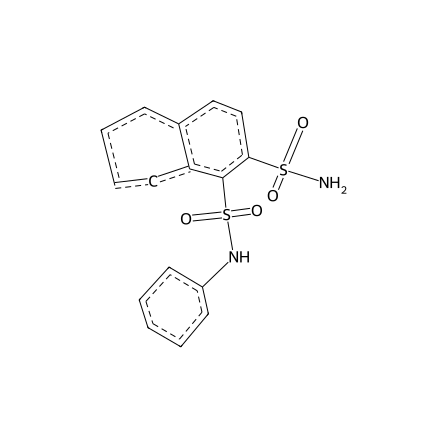 NS(=O)(=O)c1ccc2ccccc2c1S(=O)(=O)Nc1ccccc1